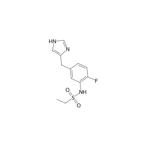 CCS(=O)(=O)Nc1cc(Cc2c[nH]cn2)ccc1F